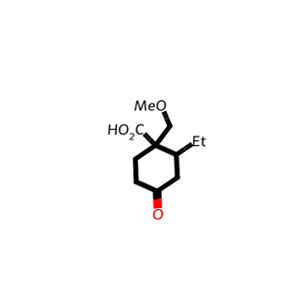 CCC1CC(=O)CCC1(COC)C(=O)O